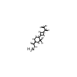 C=C(C)C(=C)C1CC(C2CCC(C(C)CN)CC2(C)C)C1